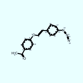 CC(=O)c1ccc(OC=Cc2ccc(N=[N+]=[N-])cc2)cc1